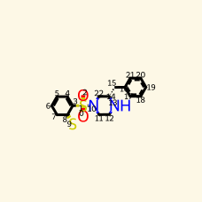 O=S(=O)(C1=CC=CCC1=S)N1CCN[C@@H](Cc2ccccc2)C1